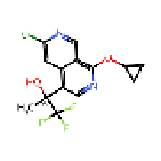 C[C@@](O)(c1cnc(OC2CC2)c2cnc(Cl)cc12)C(F)(F)F